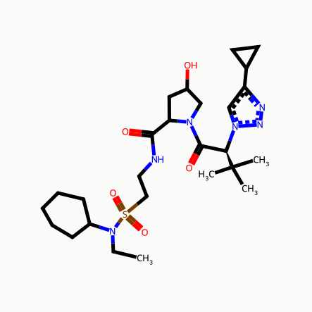 CCN(C1CCCCC1)S(=O)(=O)CCNC(=O)C1CC(O)CN1C(=O)[C@@H](n1cc(C2CC2)nn1)C(C)(C)C